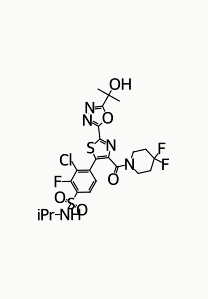 CC(C)NS(=O)(=O)c1ccc(-c2sc(-c3nnc(C(C)(C)O)o3)nc2C(=O)N2CCC(F)(F)CC2)c(Cl)c1F